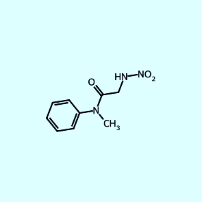 CN(C(=O)CN[N+](=O)[O-])c1ccccc1